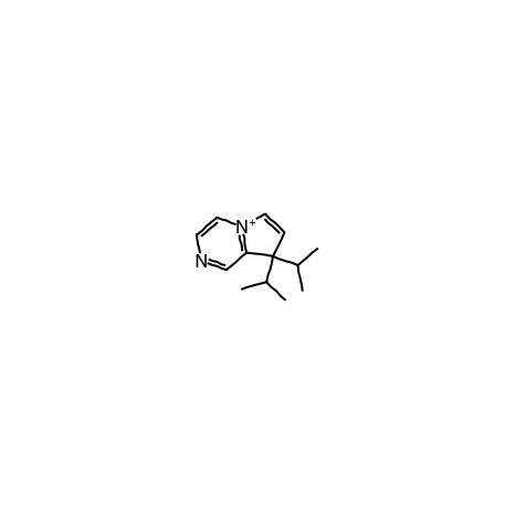 CC(C)C1(C(C)C)C=C[n+]2ccncc21